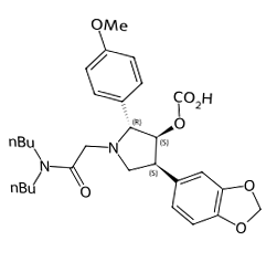 CCCCN(CCCC)C(=O)CN1C[C@H](c2ccc3c(c2)OCO3)[C@H](OC(=O)O)[C@H]1c1ccc(OC)cc1